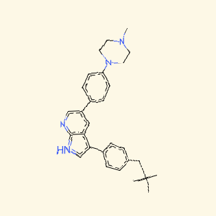 CN1CCN(c2ccc(-c3cnc4[nH]cc(-c5ccc(CC(C)(C)C)cc5)c4c3)cc2)CC1